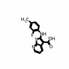 Cc1ccc(Nc2sc3ncccc3c2C(=O)O)c(F)c1